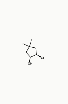 O[C@@H]1CC(F)(F)C[C@@H]1O